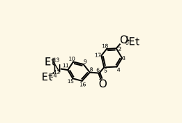 CCOc1ccc(C(=O)c2ccc(N(CC)CC)cc2)cc1